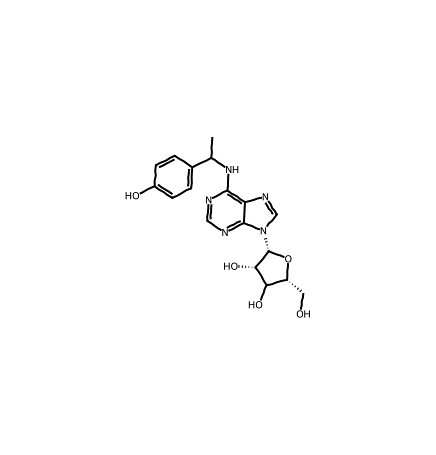 CC(Nc1ncnc2c1ncn2[C@@H]1O[C@H](CO)C(O)[C@@H]1O)c1ccc(O)cc1